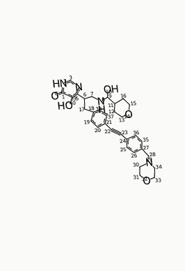 O=c1[nH]cnc(C(CNC(O)C2CCOCC2)Cc2ccc(C#Cc3ccc(CN4CCOCC4)cc3)cc2)c1O